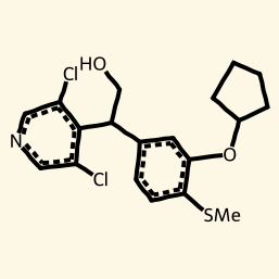 CSc1ccc(C(CO)c2c(Cl)cncc2Cl)cc1OC1CCCC1